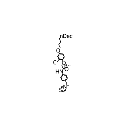 CCCCCCCCCCCCCCOc1ccc(OCC(=O)Nc2ccc(C[n+]3ccsc3)cc2)c(Cl)c1.[Br-]